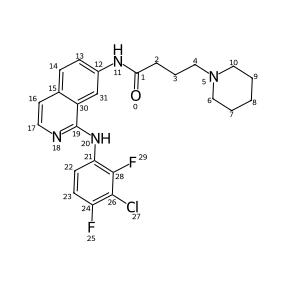 O=C(CCCN1CCCCC1)Nc1ccc2ccnc(Nc3ccc(F)c(Cl)c3F)c2c1